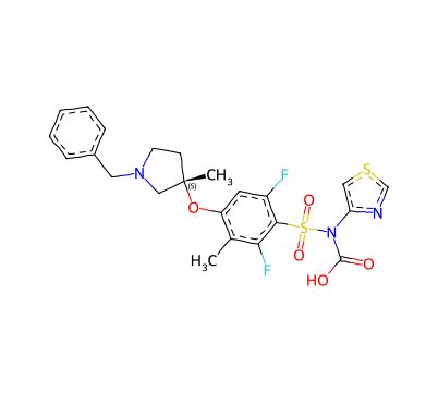 Cc1c(O[C@@]2(C)CCN(Cc3ccccc3)C2)cc(F)c(S(=O)(=O)N(C(=O)O)c2cscn2)c1F